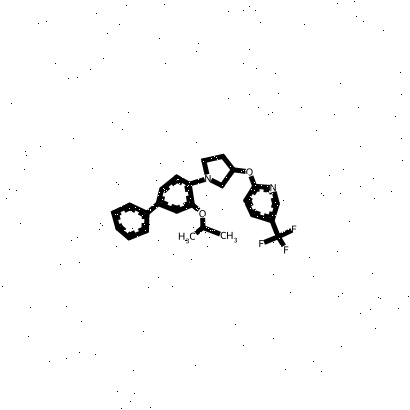 CC(C)Oc1cc(-c2ccccc2)ccc1N1CCC(Oc2ccc(C(F)(F)F)cn2)C1